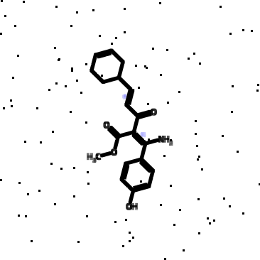 COC(=O)/C(C(=O)/C=C/C1CC=CCC1)=C(/N)c1ccc(O)cc1